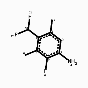 Cc1cc(N)c(F)c(C)c1C(F)F